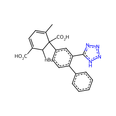 CCCCC1C(C(=O)O)=CC=C(C)C1(C(=O)O)c1ccc(-c2ccccc2)c(-c2nnn[nH]2)c1